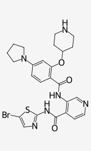 O=C(Nc1ncc(Br)s1)c1ccncc1NC(=O)c1ccc(N2CCCC2)cc1OC1CCNCC1